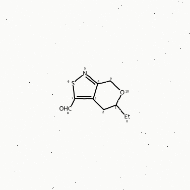 CCC1Cc2c(nsc2C=O)CO1